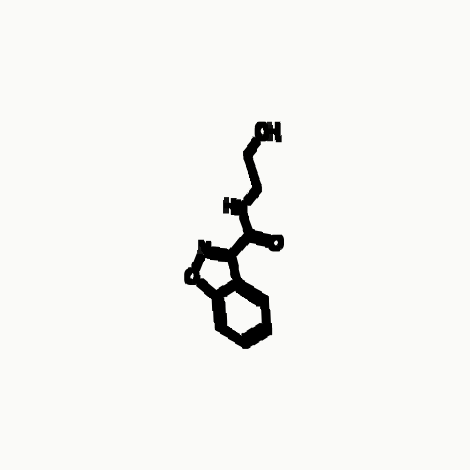 O=C(NCCO)c1noc2ccccc12